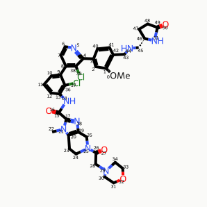 COc1cc(-c2nccc(-c3cccc(NC(=O)c4nc5c(n4C)CCN(C(=O)CN4CCOCC4)C5)c3Cl)c2Cl)ccc1CNC[C@@H]1CCC(=O)N1